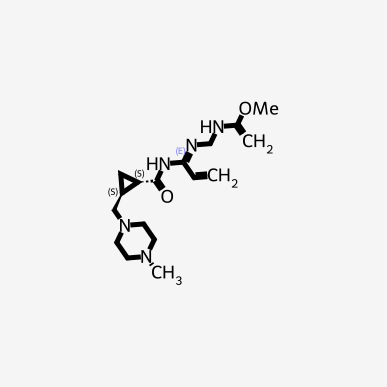 C=C/C(=N\CNC(=C)OC)NC(=O)[C@H]1C[C@@H]1CN1CCN(C)CC1